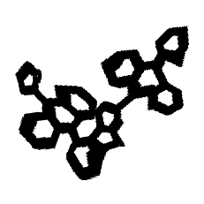 c1ccc(-c2c3ccccc3c(-c3ccc4c(c3)sc3cccc(-c5c6ccccc6c(-c6ccco6)c6ccccc56)c34)c3ccccc23)cc1